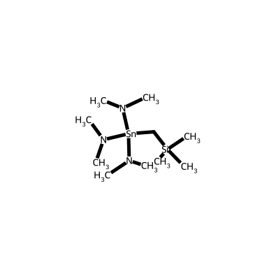 C[N](C)[Sn]([CH2][Si](C)(C)C)([N](C)C)[N](C)C